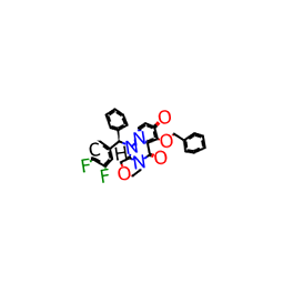 O=C1c2c(OCc3ccccc3)c(=O)ccn2N([C@H](c2ccccc2)c2ccc(F)c(F)c2)[C@@H]2COCCN12